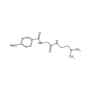 COc1ccc(C(=O)NCC(=O)NCCN(C)C)cc1